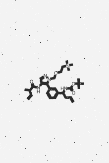 C=CCC(NC(=O)OC(C)(C)C)c1cccc(-c2c(NC(=O)C(C)C=C)cnn2COCC[Si](C)(C)C)c1